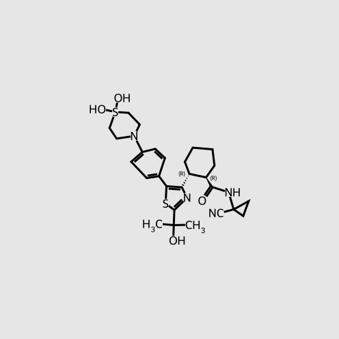 CC(C)(O)c1nc([C@@H]2CCCC[C@H]2C(=O)NC2(C#N)CC2)c(-c2ccc(N3CCS(O)(O)CC3)cc2)s1